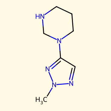 Cn1ncc(N2CCCNC2)n1